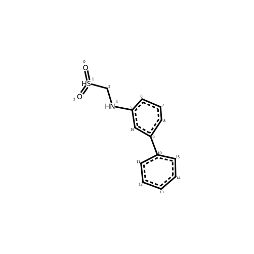 O=[SH](=O)CNc1cccc(-c2cc[c]cc2)c1